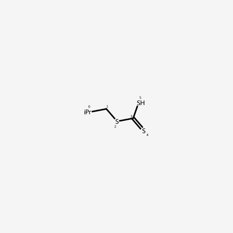 CC(C)CSC(=S)S